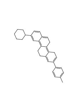 Cc1ccc(C2=CCC3=C4CC=c5ccc(C6CCCCC6)cc5=C4CCC3=C2)cc1